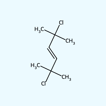 CC(C)(Cl)C=CC(C)(C)Cl